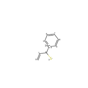 C=CC([S])[14c]1ccccc1